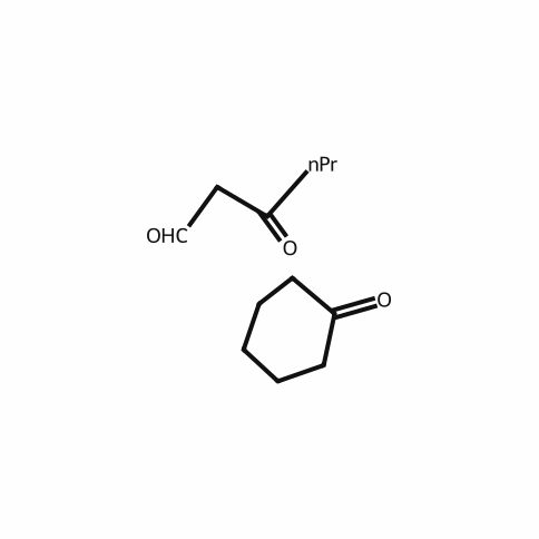 CCCC(=O)CC=O.O=C1CCCCC1